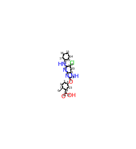 Cc1ccc(Oc2nc3nc(Nc4ccccc4)c(Cl)cc3[nH]2)cc1C(=O)O